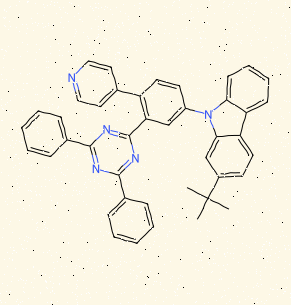 CC(C)(C)c1ccc2c3ccccc3n(-c3ccc(-c4ccncc4)c(-c4nc(-c5ccccc5)nc(-c5ccccc5)n4)c3)c2c1